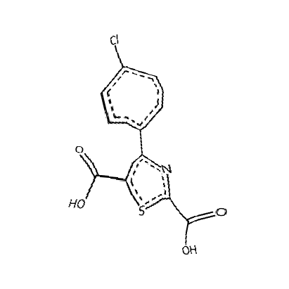 O=C(O)c1nc(-c2ccc(Cl)cc2)c(C(=O)O)s1